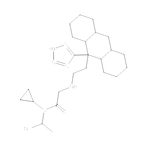 CC(C#N)N(C(=O)CNCCC1(c2nn[nH]n2)C2CCCCC2CC2CCCCC21)C1CC1